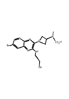 CN(C(=O)O)C1CN(c2nc3ncc(Br)cc3nc2NCCO)C1